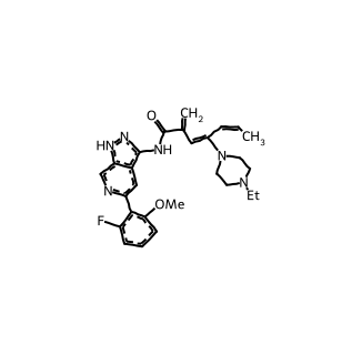 C=C(/C=C(\C=C/C)N1CCN(CC)CC1)C(=O)Nc1n[nH]c2cnc(-c3c(F)cccc3OC)cc12